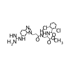 COC(=O)C(CNC(=O)CCn1cnc2ccc(NC(=N)N)cc21)NC(=O)c1c(Cl)cccc1Cl